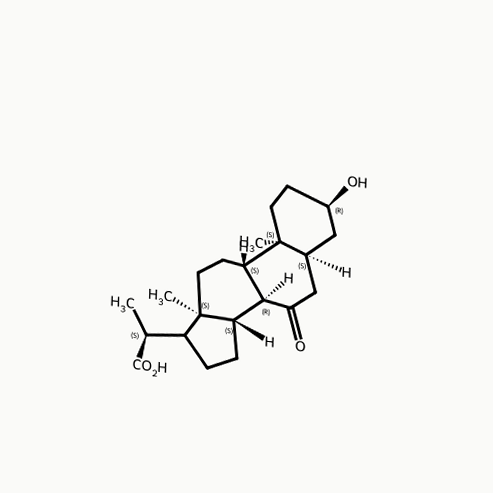 C[C@H](C(=O)O)C1CC[C@H]2[C@@H]3C(=O)C[C@@H]4C[C@H](O)CC[C@]4(C)[C@H]3CC[C@]12C